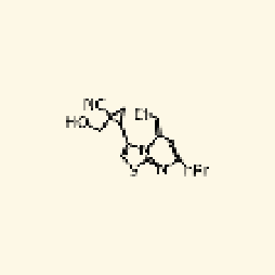 CC/C=C1/C=C(CCC)N=C2SC=C(C3CC3(C#N)CO)N21